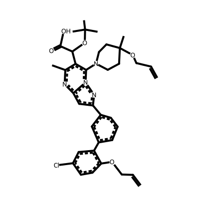 C=CCOc1ccc(Cl)cc1-c1cccc(-c2cc3nc(C)c(C(OC(C)(C)C)C(=O)O)c(N4CCC(C)(OCC=C)CC4)n3n2)c1